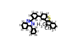 CC1(C)c2ccccc2-c2sc3ccc(-c4cccc(-c5nc(-c6ccccc6)c6ccccc6n5)c4)cc3c21